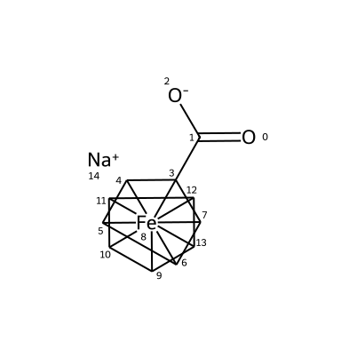 O=C([O-])[C]12[CH]3[CH]4[CH]5[CH]1[Fe]45321678[CH]2[CH]1[CH]6[CH]7[CH]28.[Na+]